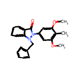 COc1cc(-n2c(=O)c3ccccc3n2Cc2ccccc2)cc(OC)c1C